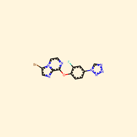 Fc1cc(-n2cnnn2)ccc1Oc1nccn2c(Br)cnc12